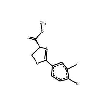 COC(=O)[C@@H]1COC(c2ccc(Br)c(F)c2)=N1